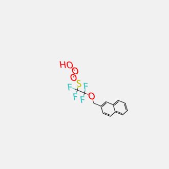 OOOSC(F)(F)C(F)(F)OCc1ccc2ccccc2c1